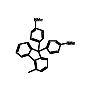 CNc1ccc(C2(c3ccc(NC)cc3)c3ccccc3-c3c(C)cccc32)cc1